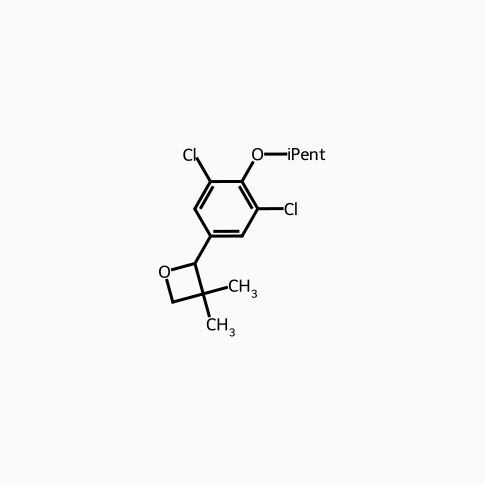 CCCC(C)Oc1c(Cl)cc(C2OCC2(C)C)cc1Cl